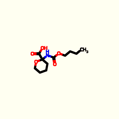 CCCCOC(=O)NC1(C(=O)O)CCCCO1